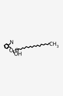 CCCCCCCCCCCCCCCCCCOC[C@H](CO)OCc1ccccc1C#N